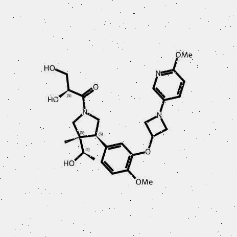 COc1ccc(N2CC(Oc3cc([C@@H]4CN(C(=O)[C@@H](O)CO)C[C@@]4(C)[C@@H](C)O)ccc3OC)C2)cn1